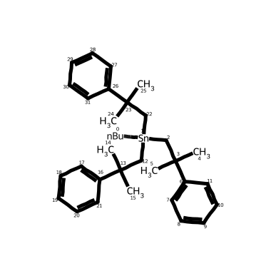 CCC[CH2][Sn]([CH2]C(C)(C)c1ccccc1)([CH2]C(C)(C)c1ccccc1)[CH2]C(C)(C)c1ccccc1